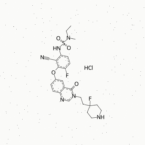 CCN(C)S(=O)(=O)Nc1ccc(F)c(Oc2ccc3ncn(CCC4(F)CCNCC4)c(=O)c3c2)c1C#N.Cl